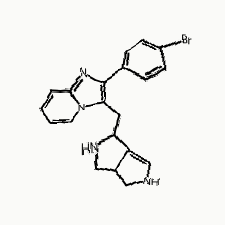 Brc1ccc(-c2nc3ccccn3c2CC2NCC3CNC=C32)cc1